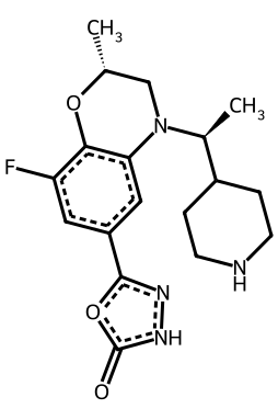 C[C@@H]1CN([C@@H](C)C2CCNCC2)c2cc(-c3n[nH]c(=O)o3)cc(F)c2O1